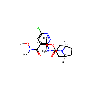 CON(C)C(=O)c1cc(Cl)nnc1NC1C[C@H]2CC[C@@H](C1)N2C(=O)OC(C)(C)C